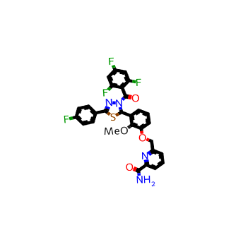 COc1c(OCc2cccc(C(N)=O)n2)cccc1C1SC(c2ccc(F)cc2)=NN1C(=O)c1c(F)cc(F)cc1F